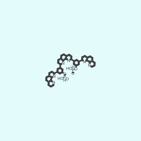 O=[PH](O)Oc1cc(-c2ccc3ccc4cccnc4c3n2)cc(-c2ccc3ccc4ccc(-c5cc(O[PH](=O)O)cc(-c6ccc7ccc8cccnc8c7n6)c5)nc4c3n2)c1